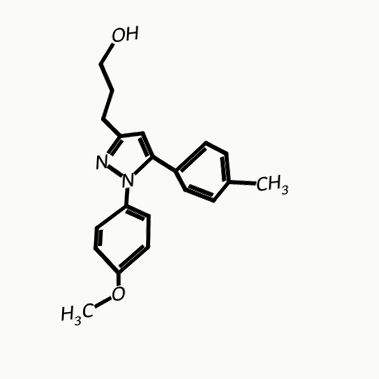 COc1ccc(-n2nc(CCCO)cc2-c2ccc(C)cc2)cc1